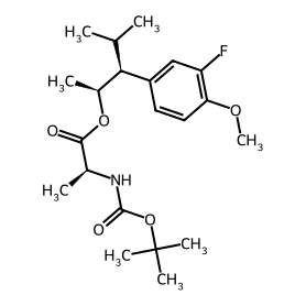 COc1ccc([C@H](C(C)C)[C@H](C)OC(=O)[C@H](C)NC(=O)OC(C)(C)C)cc1F